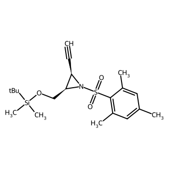 C#C[C@@H]1[C@H](CO[Si](C)(C)C(C)(C)C)N1S(=O)(=O)c1c(C)cc(C)cc1C